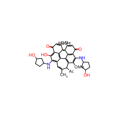 COc1c(NC2CCC(O)C2)c2c(=O)cc(OC)c3c4c(OC)cc(=O)c5c(O)c(NC6CCC(O)C6)c6c(c(c1C(C(C)=O)C(C)=C6)c23)c54